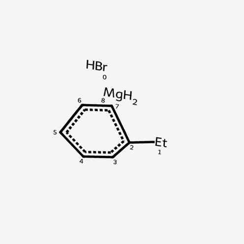 Br.CCc1ccccc1.[MgH2]